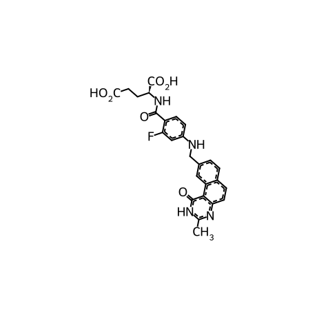 Cc1nc2ccc3ccc(CNc4ccc(C(=O)N[C@@H](CCC(=O)O)C(=O)O)c(F)c4)cc3c2c(=O)[nH]1